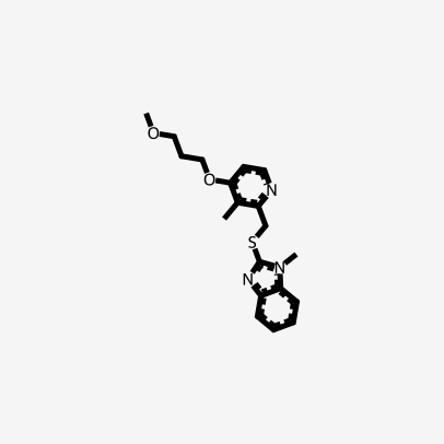 COCCCOc1ccnc(CSc2nc3ccccc3n2C)c1C